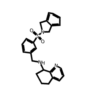 O=S(=O)(c1cccc(CNC2CCCc3cccnc32)c1)N1Cc2ccccc2C1